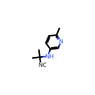 [C-]#[N+]C(C)(C)Nc1ccc(C)nc1